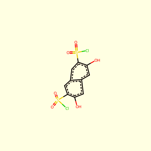 O=S(=O)(Cl)c1cc2cc(S(=O)(=O)Cl)c(O)cc2cc1O